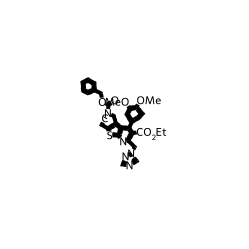 CCOC(=O)c1c(Cn2cncn2)nc2sc3c(c2c1-c1ccc(OC)c(OC)c1)CN(C(=O)OCc1ccccc1)CC3